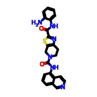 Nc1ccccc1NC(=O)c1nc2c(s1)CN(C(=O)Nc1cccc3cnccc13)CC2